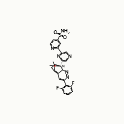 CC1(C)C2=C3C=C(c4c(F)cccc4F)N=NC3[C@]1(c1cncc(-c3cc(S(N)(=O)=O)ccn3)n1)CC2